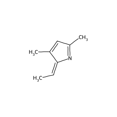 C/C=C1/N=C(C)C=C1C